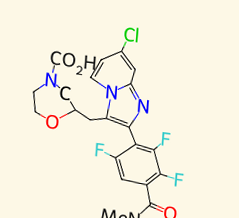 CNC(=O)c1cc(F)c(-c2nc3cc(Cl)ccn3c2CC2CN(C(=O)O)CCO2)c(F)c1F